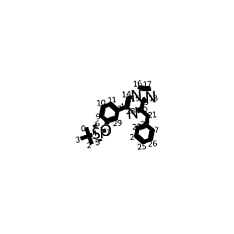 CC(C)(C)[Si](C)(C)Oc1cccc(-c2cn3ccnc3c(Cc3ccccc3)n2)c1